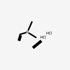 C=C.C=CN(C)C.Cl.Cl